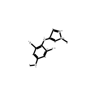 COc1cc(F)c(Oc2cnn(C)c2)c(F)c1